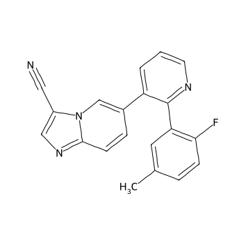 Cc1ccc(F)c(-c2ncccc2-c2ccc3ncc(C#N)n3c2)c1